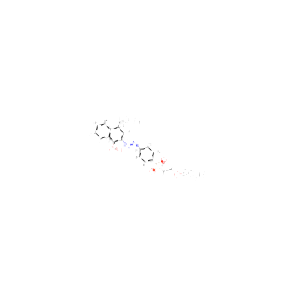 O=S(=O)(O)OCCS(=O)(=O)c1ccc(/N=N/c2cc(S(=O)(=O)O)c3ccccc3c2O)cc1